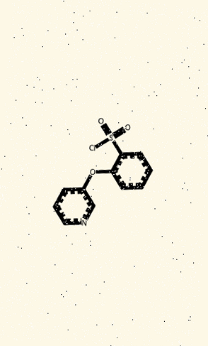 O=S(=O)(Cl)c1ccccc1Oc1cccnc1